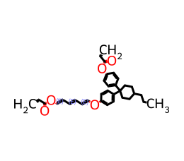 C=CC(=O)O/C=C/C=C/C=C/Oc1ccc(C2(c3ccc(OC(=O)C=C)cc3)CCC(CCC)CC2)cc1